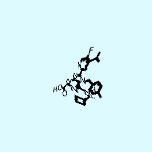 Cc1ccc(Cn2c(-c3cc(C(C)C)c(F)cn3)nc3nc(C(=O)O)nc(N[C@H](C)C4CCC4)c32)cc1